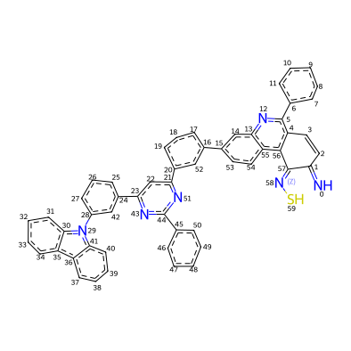 N=C1C=Cc2c(-c3ccccc3)nc3cc(-c4cccc(-c5cc(-c6cccc(-n7c8ccccc8c8ccccc87)c6)nc(-c6ccccc6)n5)c4)ccc3c2/C1=N/S